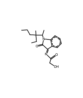 CCCC(C)(CC)C(C)N1C(=O)/C(=N/C(=O)CO)c2ccccc21